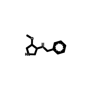 COC1CNCC1NCc1ccccc1